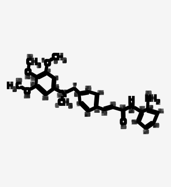 COc1cc(N(C)Cc2ccc(/C=C/C(=O)Nc3ccccc3N)cc2)cc(OC)c1OC